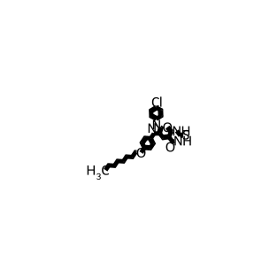 CCCCCCCCOc1ccc(-c2nn(-c3ccc(Cl)cc3)cc2C=C2C(=O)NC(=S)NC2=O)cc1